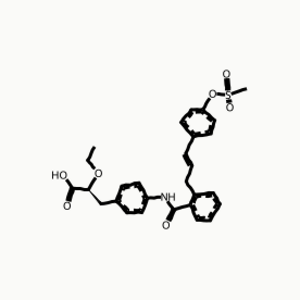 CCO[C@@H](Cc1ccc(NC(=O)c2ccccc2C/C=C/c2ccc(OS(C)(=O)=O)cc2)cc1)C(=O)O